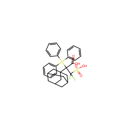 O=C(O)C(C12CC3CC(CC(C3)C1)C2)(C(F)(F)S(=O)(=O)O)S(c1ccccc1)(c1ccccc1)c1ccccc1